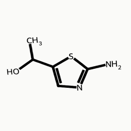 CC(O)c1cnc(N)s1